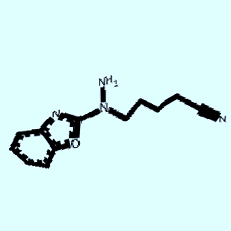 N#CCCCCN(N)c1nc2ccccc2o1